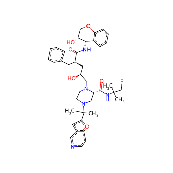 CC(C)(CF)NC(=O)[C@@H]1CN(C(C)(C)c2cc3cnccc3o2)CCN1C[C@@H](O)C[C@@H](Cc1ccccc1)C(=O)N[C@H]1c2ccccc2OC[C@H]1O